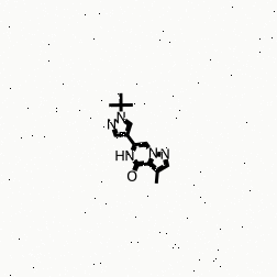 Cc1cnn2cc(-c3cnn(C(C)(C)C)c3)[nH]c(=O)c12